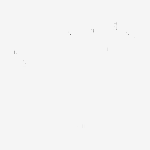 NNc1nccc(Nc2cc(C#CCCCO)c3[nH]ncc3c2)n1